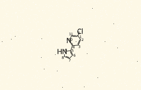 Clc1ccc(-c2ccc[nH]2)nc1